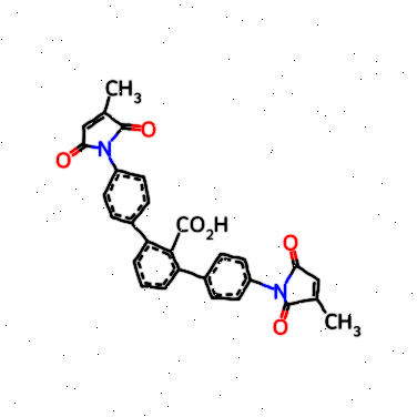 CC1=CC(=O)N(c2ccc(-c3cccc(-c4ccc(N5C(=O)C=C(C)C5=O)cc4)c3C(=O)O)cc2)C1=O